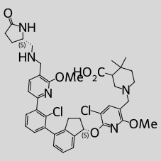 COc1nc(-c2cccc(-c3cccc4c3CC[C@@H]4Oc3nc(OC)c(CN4CCC(C)(C)C(C(=O)O)C4)cc3Cl)c2Cl)ccc1CNC[C@@H]1CCC(=O)N1